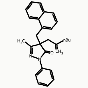 C=C(CCCC)CC1(Cc2cccc3ccccc23)C(=O)N(c2ccccc2)N=C1C